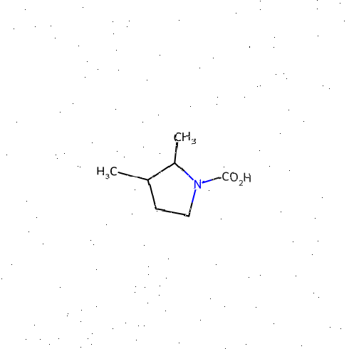 CC1CCN(C(=O)O)C1C